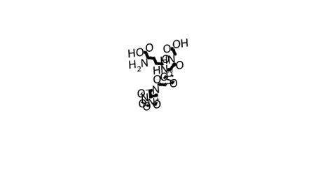 NC(CCC(=O)N[C@@H](CS(=O)(=O)CC(=O)N1CC([N+](=O)[O-])([N+](=O)[O-])C1)C(=O)NCC(=O)O)C(=O)O